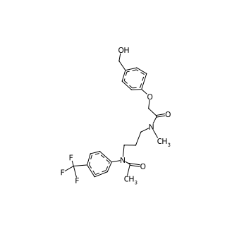 CC(=O)N(CCCN(C)C(=O)COc1ccc(CO)cc1)c1ccc(C(F)(F)F)cc1